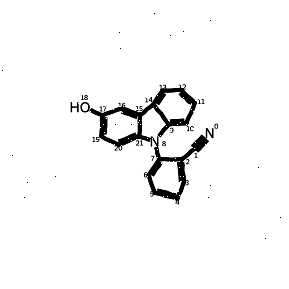 N#Cc1ccccc1-n1c2ccccc2c2cc(O)ccc21